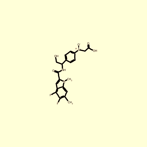 Cc1cc2c(cc(C(=O)NC(CO)c3ccc([S@@+]([O-])CC(=O)O)cc3)n2C)c(F)c1F